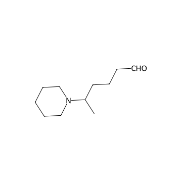 CC(CCCC=O)N1CCCCC1